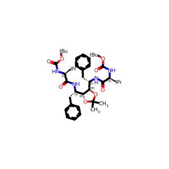 CC(C)[C@H](NC(=O)OC(C)(C)C)C(=O)N[C@@H](Cc1ccccc1)[C@H]1OC(C)(C)O[C@@H]1[C@H](Cc1ccccc1)NC(=O)[C@@H](NC(=O)OC(C)(C)C)C(C)C